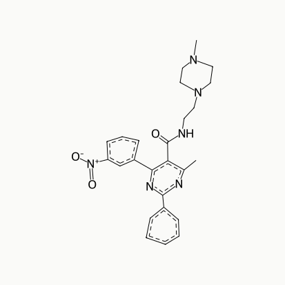 Cc1nc(-c2ccccc2)nc(-c2cccc([N+](=O)[O-])c2)c1C(=O)NCCN1CCN(C)CC1